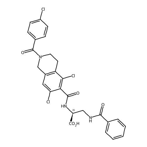 O=C(NC[C@H](NC(=O)c1c(Cl)cc2c(c1Cl)CCN(C(=O)c1ccc(Cl)cc1)C2)C(=O)O)c1ccccc1